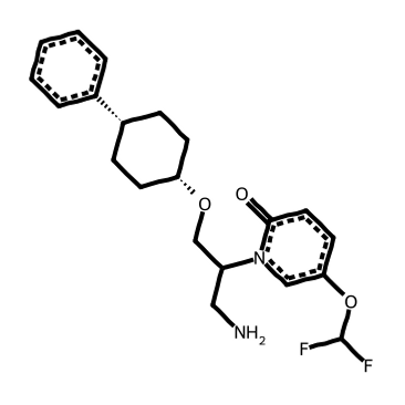 NCC(CO[C@H]1CC[C@@H](c2ccccc2)CC1)n1cc(OC(F)F)ccc1=O